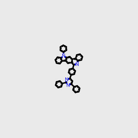 c1ccc(-c2cc(-c3ccc(-c4nc5ccccc5c5cc6c(cc45)c4ccccc4n6-c4ccccc4)cc3)nc(-c3ccccc3)n2)cc1